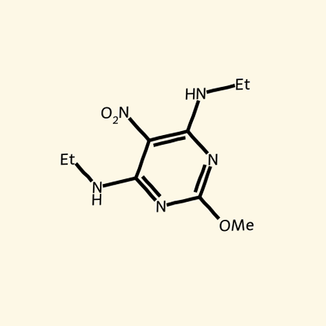 CCNc1nc(OC)nc(NCC)c1[N+](=O)[O-]